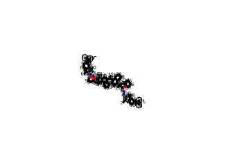 C=C(/C=C/C=C1/N(C)c2ccc([N+](=O)[O-])cc2C1(C)C)C(C)(Cc1ccccc1)c1c(C)cc(C(C)c2cc3c(c4ccccc24)C(C)(Cc2ccccc2)C(/C=C/C=C2/N(C)c4ccc([N+](=O)[O-])cc4C2(C)C)=[N+]3C)c2ccccc12